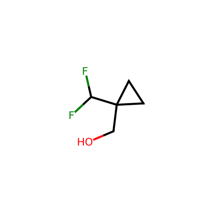 OCC1(C(F)F)CC1